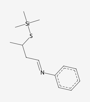 CC(CC=Nc1ccccc1)S[Si](C)(C)C